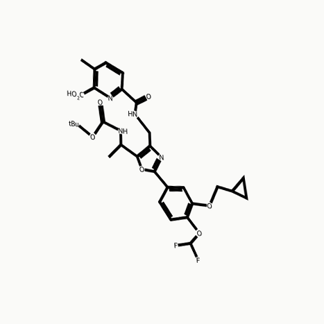 Cc1ccc(C(=O)NCc2nc(-c3ccc(OC(F)F)c(OCC4CC4)c3)oc2C(C)NC(=O)OC(C)(C)C)nc1C(=O)O